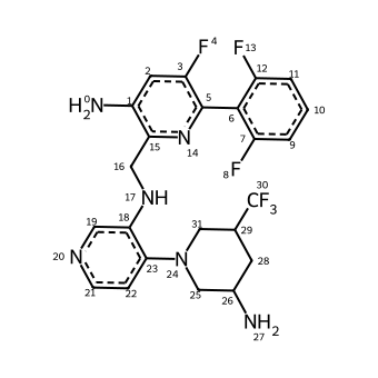 Nc1cc(F)c(-c2c(F)cccc2F)nc1CNc1cnccc1N1CC(N)CC(C(F)(F)F)C1